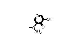 CN(N)c1cocc(O)c1=O